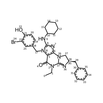 CCN1C(=O)c2c(nc(NC3CCCCC3)n2Cc2ccc(O)c(Br)c2)N2C[C@@H](Cc3ccccc3)N=C12